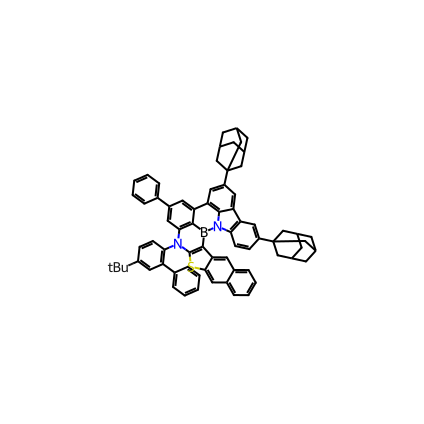 CC(C)(C)c1ccc(N2c3cc(-c4ccccc4)cc4c3B(c3c2sc2cc5ccccc5cc32)n2c3ccc(C56CC7CC(CC(C7)C5)C6)cc3c3cc(C56CC7CC(CC(C7)C5)C6)cc-4c32)c(-c2ccccc2)c1